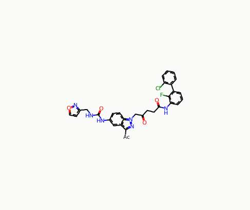 CC(=O)c1nn(CC(=O)CCC(=O)Nc2cccc(-c3ccccc3Cl)c2F)c2ccc(NC(=O)NCc3ccon3)cc12